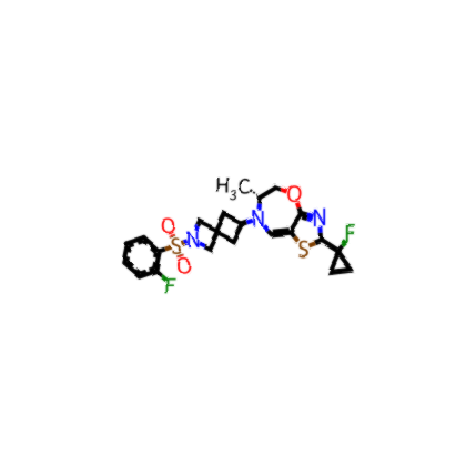 C[C@@H]1COC2=NC(C3(F)CC3)SC2=CN1C1CC2(C1)CN(S(=O)(=O)c1ccccc1F)C2